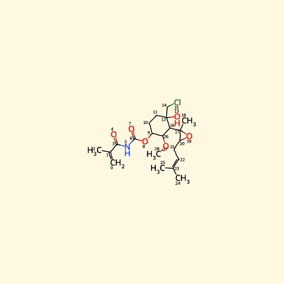 C=C(C)C(=O)NC(=O)OC1CCC(O)(CCl)C(C2(C)OC2CC=C(C)C)C1OC